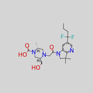 CCCC(F)(F)c1cnc2c(c1)N(C(=O)CN1C[C@@H](C)N(C(=O)O)C[C@@H]1CO)CC2(C)C